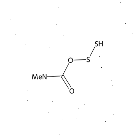 CNC(=O)OSS